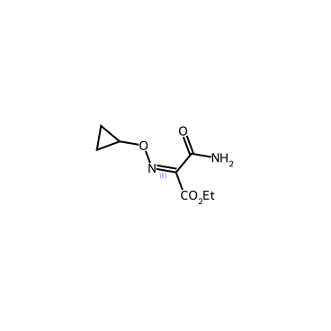 CCOC(=O)/C(=N/OC1CC1)C(N)=O